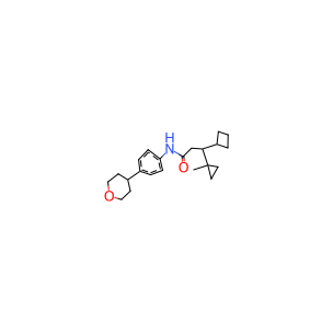 CC1(C(CC(=O)Nc2ccc(C3CCOCC3)cc2)C2CCC2)CC1